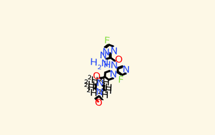 [2H]C1([2H])N(C(=O)C2CCN(c3c(F)cncc3NC(=O)c3c(N)nn4cc(F)cnc34)CC2)C([2H])([2H])C([2H])([2H])N(C2COC2)C1([2H])[2H]